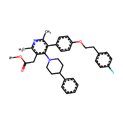 Cc1nc(C)c(-c2ccc(OCCc3ccc(F)cc3)cc2)c(N2CCC(c3ccccc3)CC2)c1CC(=O)OC(C)C